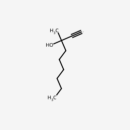 [C]#CC(C)(O)CCCCCC